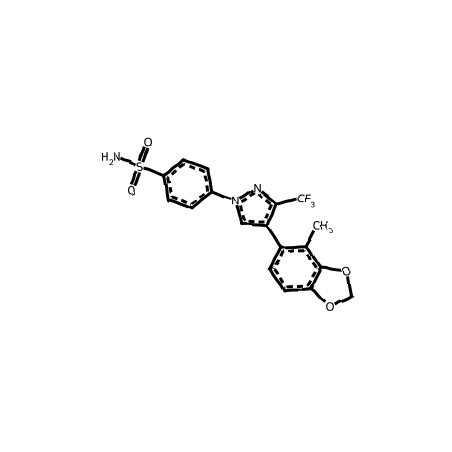 Cc1c(-c2cn(-c3ccc(S(N)(=O)=O)cc3)nc2C(F)(F)F)ccc2c1OCO2